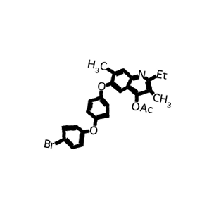 CCc1nc2cc(C)c(Oc3ccc(Oc4ccc(Br)cc4)cc3)cc2c(OC(C)=O)c1C